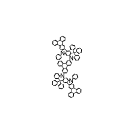 c1ccc(-n2c3cc4c(cc3c3cc5c6ccccc6c6ccccc6c5cc32)C(c2ccccc2)(c2ccccc2)c2ccccc2N4c2ccc3c4ccc(N5c6ccccc6C(c6ccccc6)(c6ccccc6)c6cc7c8cc9c%10ccccc%10c%10ccccc%10c9cc8n(-c8ccccc8)c7cc65)cc4c4ccccc4c3c2)cc1